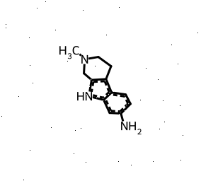 CN1CCc2c([nH]c3cc(N)ccc23)C1